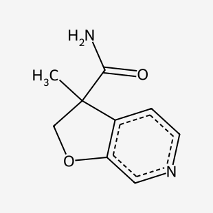 CC1(C(N)=O)COc2cnccc21